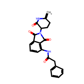 C=C1CCC(N2C(=O)c3cccc(NC(=O)Cc4ccccc4)c3C2=O)C(=O)N1